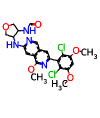 COc1cc(OC)c(Cl)c(-c2cc3cnc(NC4COCC4NC=O)cc3c(OC)n2)c1Cl